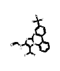 CC1SC(N[C]=O)=C(C(F)F)N1c1ccccc1-c1ccc(C(F)(F)F)cc1